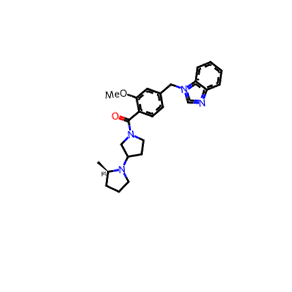 COc1cc(Cn2cnc3ccccc32)ccc1C(=O)N1CCC(N2CCC[C@H]2C)C1